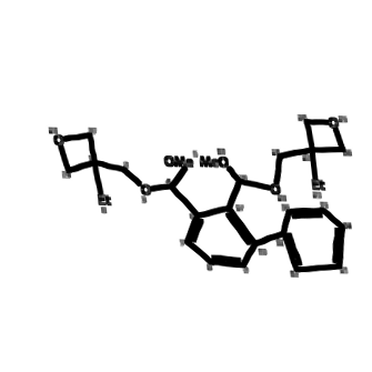 CCC1(COC(OC)c2cccc(-c3ccccc3)c2C(OC)OCC2(CC)COC2)COC1